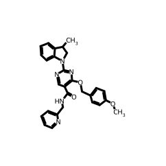 COc1ccc(COc2nc(N3CC(C)c4ccccc43)ncc2C(=O)NCc2ccccn2)cc1